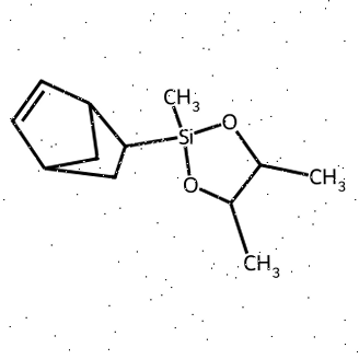 CC1O[Si](C)(C2CC3C=CC2C3)OC1C